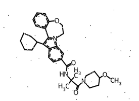 COC1CCN(C(=O)C(C)(C)NC(=O)c2ccc3c(C4CCCCC4)c4n(c3c2)CCOc2ccccc2-4)CC1